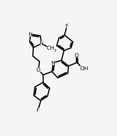 Cn1cncc1CCOC(c1ccc(F)cc1)c1ccc(C(=O)O)c(-c2ccc(F)cc2)n1